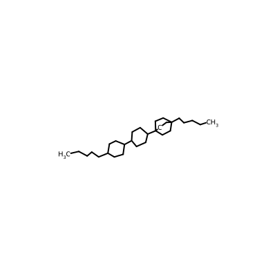 CCCCCC1CCC(C2CCC(C34CCC(CCCCC)(CC3)CC4)CC2)CC1